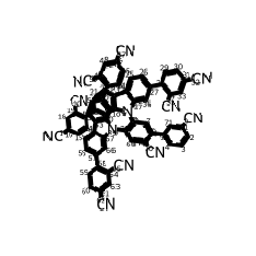 N#Cc1cccc(-c2cc(-n3c4cc(-c5ccc(C#N)cc5C#N)ccc4c4ccc(-c5ccc(C#N)cc5C#N)cc43)c(-n3c4cc(-c5ccc(C#N)cc5C#N)ccc4c4ccc(-c5ccc(C#N)cc5C#N)cc43)cc2C#N)c1